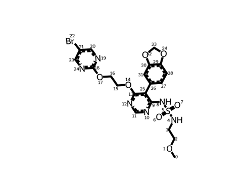 COCCNS(=O)(=O)Nc1ncnc(OCCOc2ncc(Br)cn2)c1-c1ccc2c(c1)OCO2